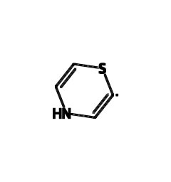 [C]1=CNC=CS1